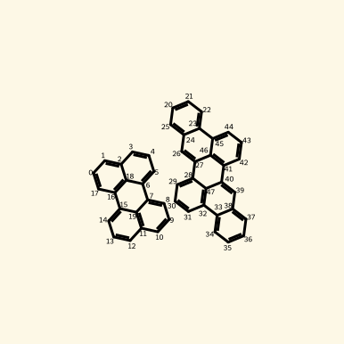 c1cc2cccc3c4cccc5cccc(c(c1)c23)c54.c1ccc2c(c1)cc1c3cccc4c5ccccc5cc(c5cccc2c51)c43